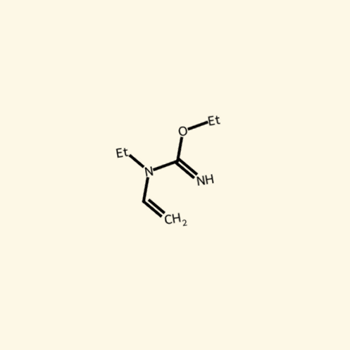 C=CN(CC)C(=N)OCC